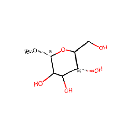 CC(C)CO[C@@H]1OC(CO)[C@H](O)C(O)C1O